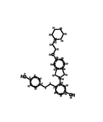 Oc1ccc(CCc2ccc(O)cc2N2Cc3ccc(OCCN4CCCCC4)cc3C2)cc1